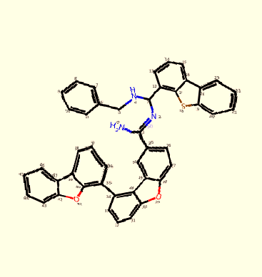 N/C(=N\C(NCc1ccccc1)c1cccc2c1sc1ccccc12)c1ccc2oc3cccc(-c4cccc5c4oc4ccccc45)c3c2c1